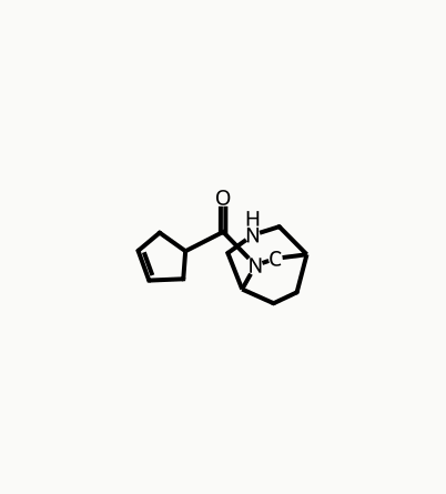 O=C(C1CC=CC1)N1CC2CCC1CNC2